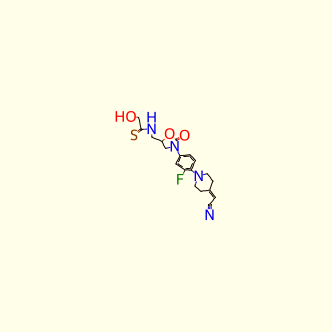 N#CC=C1CCN(c2ccc(N3CC(CNC(=S)CO)OC3=O)cc2F)CC1